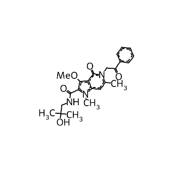 COc1c(C(=O)NCC(C)(C)O)n(C)c2cc(C)n(CC(=O)c3ccccc3)c(=O)c12